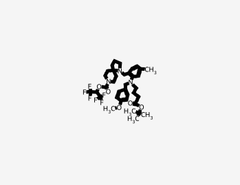 COc1ccc(CN(CCCC(=O)OC(C)(C)C)c2cc(C)ccc2CN2CCCC23CCN(C(=O)OC(C(F)(F)F)C(F)(F)F)CC3)cc1